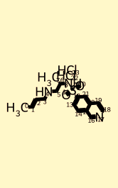 CC=CCNC[C@@H](C)NS(=O)(=O)c1ccc2cnccc2c1.Cl.Cl